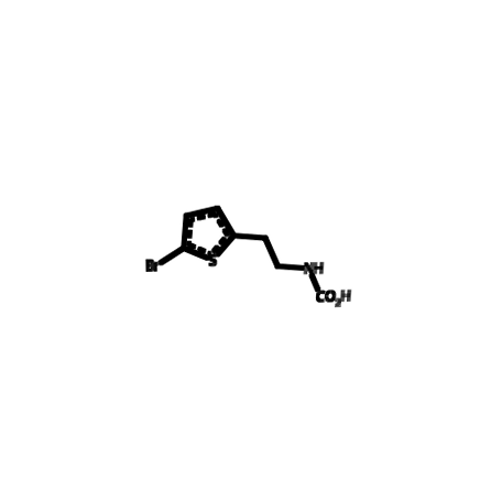 O=C(O)NCCc1ccc(Br)s1